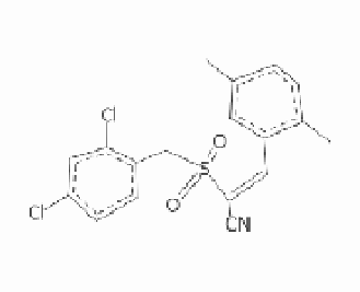 Cc1ccc(C)c(/C=C(/C#N)S(=O)(=O)Cc2ccc(Cl)cc2Cl)c1